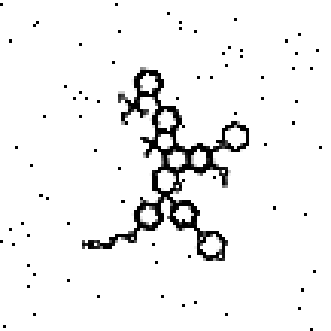 COc1cc2c3c(c4c(c2cc1N1CCCCC1)-c1ccc(-c2ccccc2C(F)(F)F)cc1C4(C)C)C=CC(c1ccc(OCCO)cc1)(c1ccc(N2CCOCC2)cc1)O3